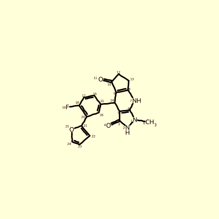 Cn1[nH]c(=O)c2c1NC1=C(C(=O)CC1)C2c1ccc(F)c(-c2ccco2)c1